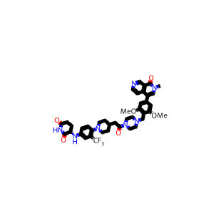 COc1cc(-c2cn(C)c(=O)c3cnccc23)cc(OC)c1CN1CCN(C(=O)CC2CCN(c3ccc(N[C@@H]4CCC(=O)NC4=O)cc3C(F)(F)F)CC2)CC1